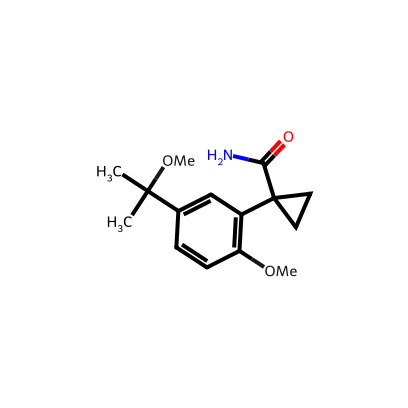 COc1ccc(C(C)(C)OC)cc1C1(C(N)=O)CC1